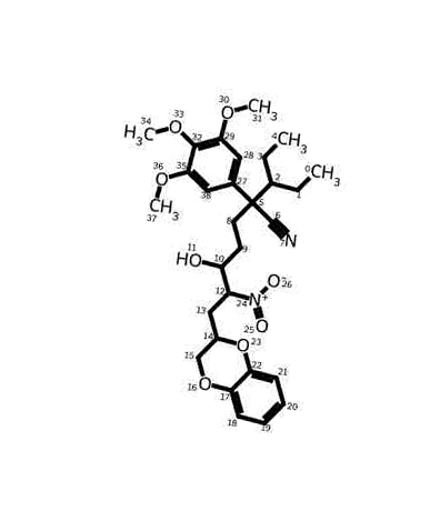 CCC(CC)C(C#N)(CCC(O)C(CC1COc2ccccc2O1)[N+](=O)[O-])c1cc(OC)c(OC)c(OC)c1